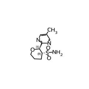 Cc1cnc([C@@H]2OCCC[C@H]2S(N)(=O)=O)nc1